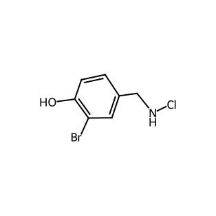 Oc1ccc(CNCl)cc1Br